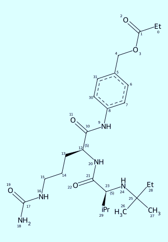 CCC(=O)OCc1ccc(NC(=O)[C@H](CCCNC(N)=O)NC(=O)[C@@H](NC(C)(C)CC)C(C)C)cc1